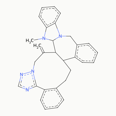 C=C1Cn2ncnc2-c2ccccc2CCC2c3ccccc3CN3c4ccccc4N(C)C3C12